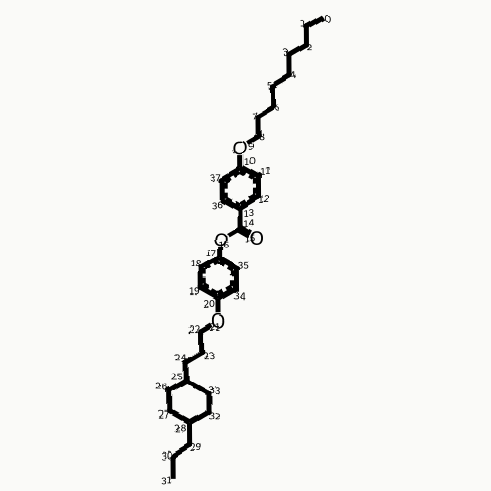 CCCCCCCCCOc1ccc(C(=O)Oc2ccc(OCCCC3CCC(CCC)CC3)cc2)cc1